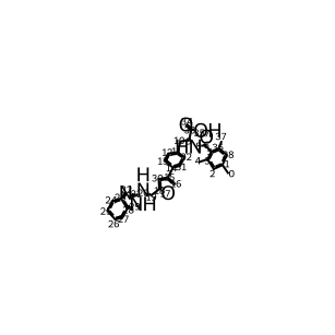 Cc1cc(C)c(C(=O)NC(Cc2ccc(-c3coc(CNc4nc5ccccc5[nH]4)c3)cc2)C(=O)O)c(C)c1